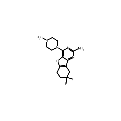 CN1CCN(c2nc(N)nc3c4c(oc23)CCC(F)(F)C4)CC1